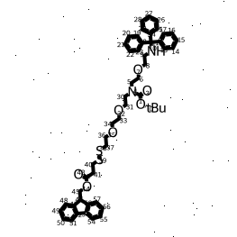 CC(C)(C)OC(=O)N(CCOCCNC(c1ccccc1)(c1ccccc1)c1ccccc1)CCOCCOCCSSCCC(=O)OCC1c2ccccc2-c2ccccc21